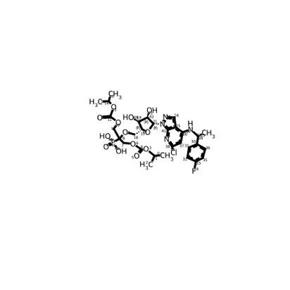 CC(C)OC(=O)OCC(COC(=O)OC(C)C)(OC[C@H]1O[C@@H](n2ncc3c(N[C@@H](C)c4ccc(F)cc4)cc(Cl)nc32)[C@H](O)[C@@H]1O)P(=O)(O)O